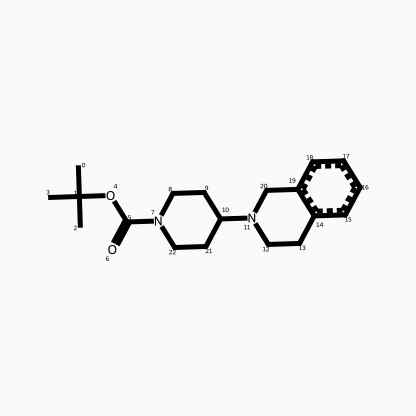 CC(C)(C)OC(=O)N1CCC(N2CCc3ccccc3C2)CC1